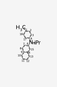 Cc1ccc(N(c2ccc3ccccc3c2)C(C)C)cc1